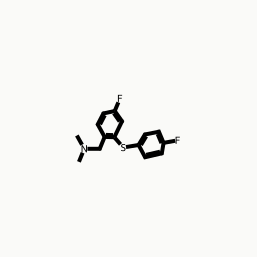 CN(C)Cc1ccc(F)cc1Sc1ccc(F)cc1